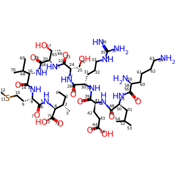 CC[C@H](C)[C@H](NC(=O)[C@H](CCSC)NC(=O)[C@@H](NC(=O)[C@@H](NC(=O)[C@H](CO)NC(=O)[C@H](CCCNC(=N)N)NC(=O)[C@H](CCC(=O)O)NC(=O)[C@H](CC(C)C)NC(=O)[C@@H](N)CCCCN)[C@@H](C)O)C(C)C)C(=O)O